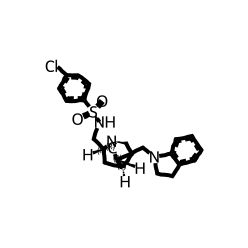 O=S(=O)(NC[C@H]1C[C@@H]2CC[N@@]1C[C@@H]2CN1CCc2ccccc21)c1ccc(Cl)cc1